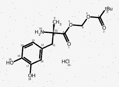 CC(C)(C)C(=O)OCOC(=O)[C@@](C)(N)Cc1ccc(O)c(O)c1.Cl